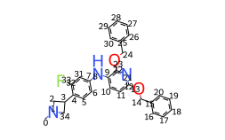 CN1CC(c2ccc(Nc3ccc(OCc4ccccc4)nc3OCc3ccccc3)cc2F)C1